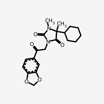 CN1C(=O)N(CC(=O)c2ccc3c(c2)OCO3)C(=O)C1(C)C1CCCCC1